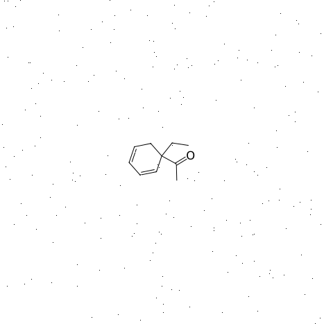 CCC1(C(C)=O)C=CC=CC1